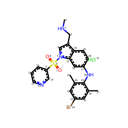 CNCc1cn(S(=O)(=O)c2cccnc2)c2cc(Nc3c(C)cc(Br)cc3C)ccc12.Cl